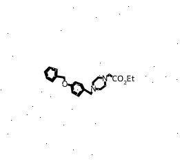 CCOC(=O)CN1CCN(Cc2ccc(OCc3ccccc3)cc2)CC1